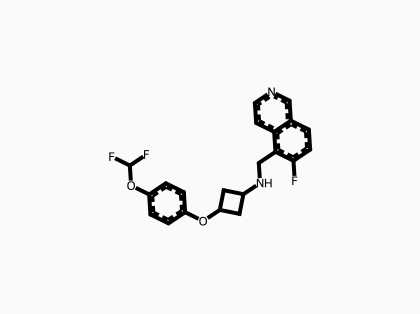 Fc1ccc2cnccc2c1CNC1CC(Oc2ccc(OC(F)F)cc2)C1